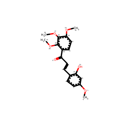 COc1ccc(C=CC(=O)c2ccc(OC)c(OC)c2OC)c(O)c1